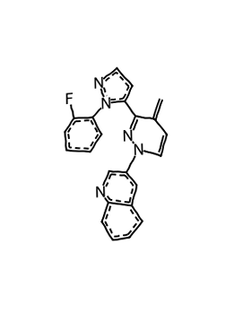 C=C1C=CN(c2cnc3ccccc3c2)N=C1c1ccnn1-c1ccccc1F